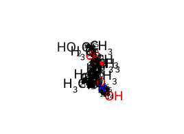 C=C(C)[C@@H]1CC[C@]2(CC(=O)N3CCC(O)CC3)CC[C@]3(C)[C@H](CC[C@@H]4[C@@]5(C)CC[C@H](OC(=O)CC(C)(C)CC(=O)O)C(C)(C)[C@@H]5CC[C@]43C)[C@@H]12